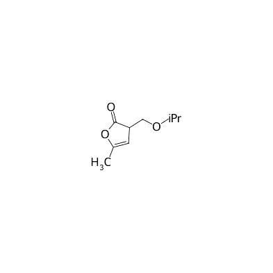 CC1=CC(COC(C)C)C(=O)O1